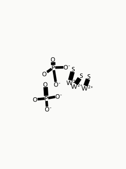 O=P([O-])([O-])[O-].O=P([O-])([O-])[O-].[S]=[W+2].[S]=[W+2].[S]=[W+2]